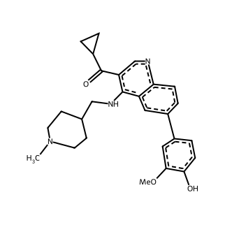 COc1cc(-c2ccc3ncc(C(=O)C4CC4)c(NCC4CCN(C)CC4)c3c2)ccc1O